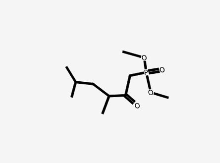 COP(=O)(CC(=O)C(C)CC(C)C)OC